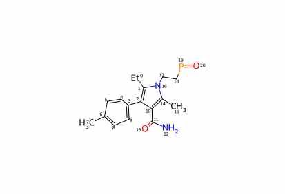 CCc1c(-c2ccc(C)cc2)c(C(N)=O)c(C)n1CCP=O